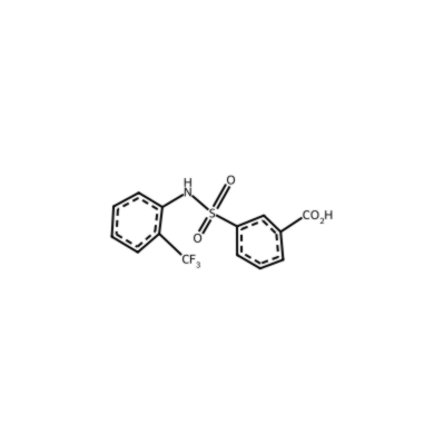 O=C(O)c1cccc(S(=O)(=O)Nc2ccccc2C(F)(F)F)c1